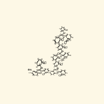 Clc1ccccc1OP(Oc1ccccc1Cl)Oc1ccccc1Cl.Clc1ccccc1OP(Oc1ccccc1Cl)Oc1ccccc1Cl.Clc1ccccc1OP(Oc1ccccc1Cl)Oc1ccccc1Cl.Clc1ccccc1OP(Oc1ccccc1Cl)Oc1ccccc1Cl.[Pt]